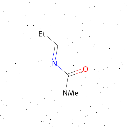 CCC=NC(=O)NC